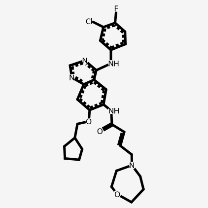 O=C(/C=C/CN1CCCOCC1)Nc1cc2c(Nc3ccc(F)c(Cl)c3)ncnc2cc1OCC1CCCC1